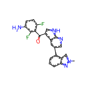 Cn1cc2c(-c3cnc4[nH]cc(C(=O)c5c(F)ccc(N)c5F)c4c3)cccc2n1